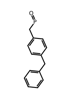 O=PCc1ccc(Cc2ccccc2)cc1